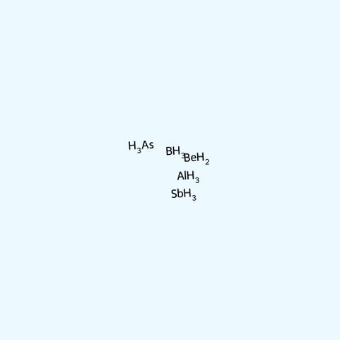 B.[AlH3].[AsH3].[BeH2].[SbH3]